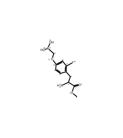 COC(=O)C(N)Cc1ccc(OCB(O)O)cc1F